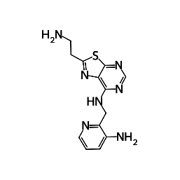 NCCc1nc2c(NCc3ncccc3N)ncnc2s1